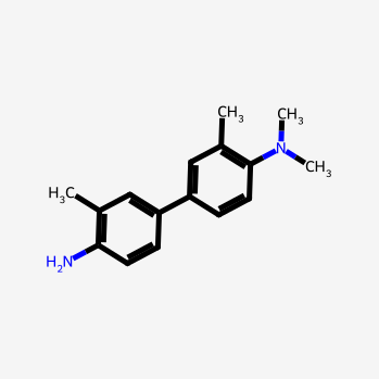 Cc1cc(-c2ccc(N(C)C)c(C)c2)ccc1N